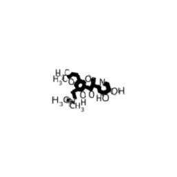 CN(C)CCc1c2c(c3occ(-c4cc(O)c(O)cn4)c(=O)c3c1O)C=CC(C)(C)O2